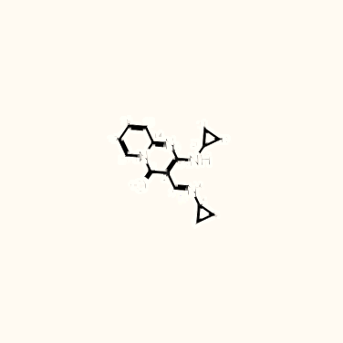 O=c1c(/C=N/C2CC2)c(NC2CC2)nc2ccccn12